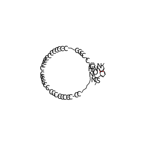 Cc1cccc(NCC2CC3(CCCCCCCCCCCCCCCCCCCCCCCCCCCCCCCCCCCCCCCCCCCCCCCCN2C(=O)c2nc(C)sc2-c2ccccc2)CCCC3)n1